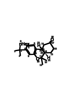 CCCCCCC(C)(C)c1c[c]c2c(c1)OC(C)(C)[C@@H]1CCC(=O)C[C@@H]21